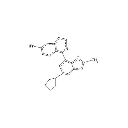 Cc1cc2cc(C3CCCC3)cc(-c3nccc4cc(C(C)C)ccc34)c2o1